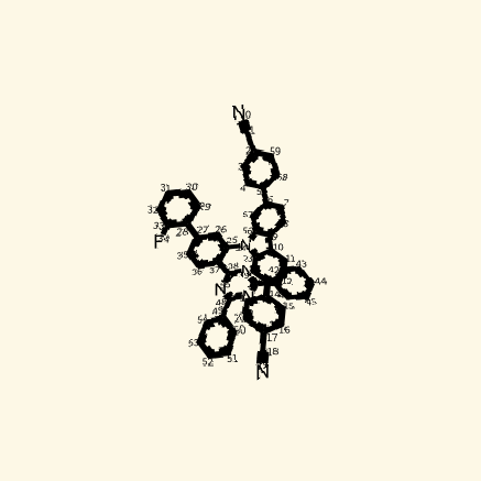 N#Cc1ccc(-c2ccc3c4ccc(-c5ccc(C#N)cc5)cc4n(-c4cc(-c5ccccc5F)ccc4-c4nc(-c5ccccc5)nc(-c5ccccc5)n4)c3c2)cc1